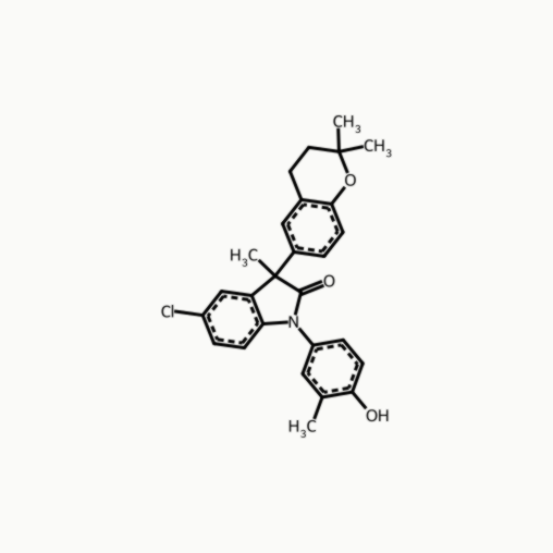 Cc1cc(N2C(=O)C(C)(c3ccc4c(c3)CCC(C)(C)O4)c3cc(Cl)ccc32)ccc1O